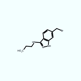 O=C(O)CCNc1n[nH]c2cc(CBr)ccc12